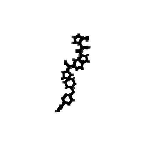 N#Cc1ccc(CN2CCC3(CC2)CCN(C(=O)c2ccc4c(c2)C(NC(=O)c2sccc2Cl)CC4)C3)cc1